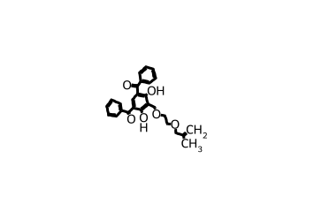 C=C(C)COCCOCc1c(O)c(C(=O)c2ccccc2)cc(C(=O)c2ccccc2)c1O